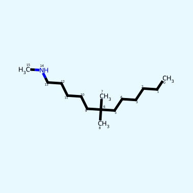 CCCCCCC(C)(C)CCCCCNC